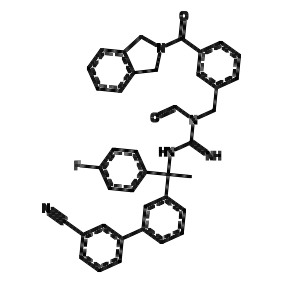 CC(NC(=N)N(C=O)Cc1cccc(C(=O)N2Cc3ccccc3C2)c1)(c1ccc(F)cc1)c1cccc(-c2cccc(C#N)c2)c1